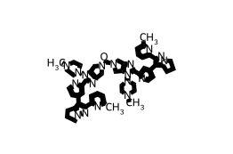 Cc1cccc(-c2nn3c(c2-c2ccnc(-c4nc5c(n4N4CCN(C)CC4)CN(C(=O)N4Cc6nc(-c7cc(-c8c(-c9cccc(C)n9)nn9c8CCC9)ccn7)n(N7CCN(C)CC7)c6C4)C5)c2)CCC3)n1